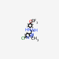 Cn1nc(C(=N)Nc2ccc(OC(F)(F)F)cc2)c2ccc(Cl)nc21